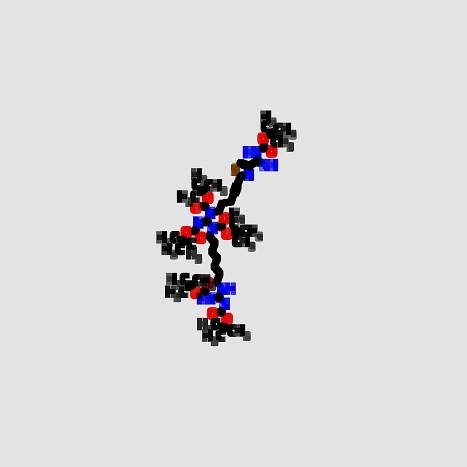 CC(C)(C)OC(=O)/N=C(/NCCCCCCCN(C(=O)OC(C)(C)C)/C(=N\C(=O)OC(C)(C)C)N(CCCC#Cc1nc(C(=N)NC(=O)OC(C)(C)C)cs1)C(=O)OC(C)(C)C)NC(=O)OC(C)(C)C